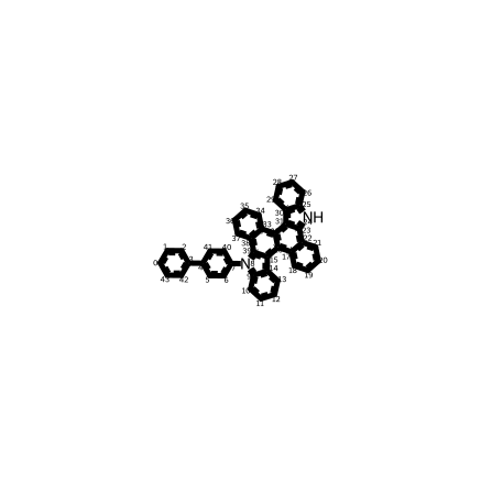 c1ccc(-c2ccc(-n3c4ccccc4c4c5c6ccccc6c6[nH]c7ccccc7c6c5c5ccccc5c43)cc2)cc1